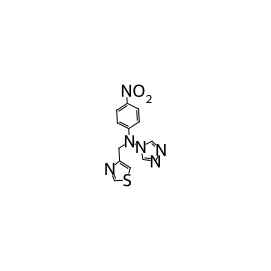 O=[N+]([O-])c1ccc(N(Cc2cscn2)n2cnnc2)cc1